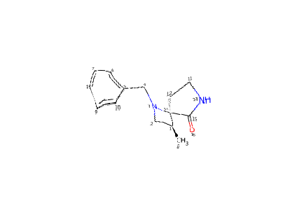 C[C@H]1CN(Cc2ccccc2)[C@]12CCNC2=O